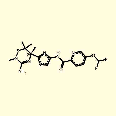 CN1SC(C)(C)[C@](C)(c2nc(NC(=O)c3ccc(OC(F)F)cn3)cs2)N=C1N